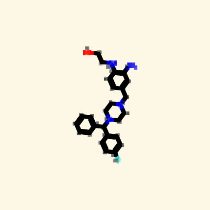 Nc1cc(CN2CCN(C(c3ccccc3)c3ccc(F)cc3)CC2)ccc1NCCO